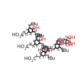 CC(C)(C)Cc1cc(CCC(=O)O)cc(CC(C)(C)C)c1O.CC(C)(C)Cc1cc(CCC(=O)O)cc(CC(C)(C)C)c1O.CC(C)(C)Cc1cc(CCC(=O)O)cc(CC(C)(C)C)c1O.CC(C)(C)Cc1cc(CCC(=O)O)cc(CC(C)(C)C)c1O.OCC(CO)(CO)CO